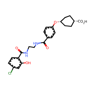 O=C(NCCNC(=O)c1ccc(Cl)cc1O)c1ccc(O[C@H]2CC[C@@H](C(=O)O)CC2)cc1